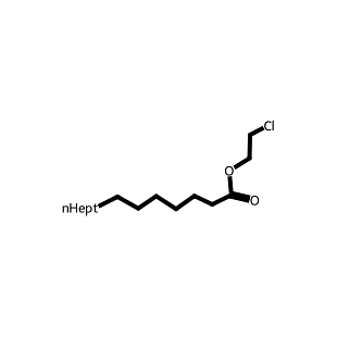 CCCCCCCCCCCCCC(=O)OCCCl